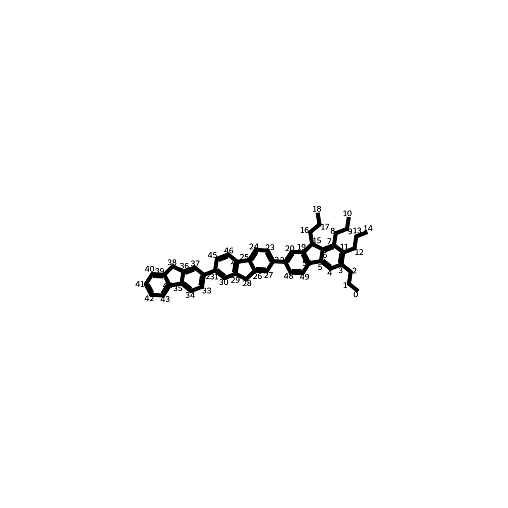 CCCc1cc2c(c(CCC)c1CCC)C(CCC)c1cc(-c3ccc4c(c3)Cc3cc(-c5ccc6c(c5)Cc5ccccc5-6)ccc3-4)ccc1-2